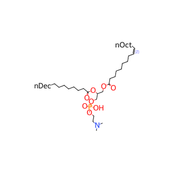 CCCCCCCC/C=C\CCCCCCCC(=O)OCC(COP(=O)(O)OCCN(C)C)OC(=O)CCCCCCCCCCCCCCCCC